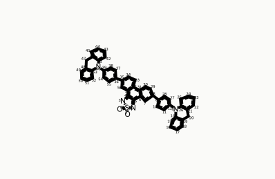 O=S1(=O)N=c2c(c3cc(-c4ccc(N5c6ccccc6Cc6ccccc65)cc4)ccc3c3ccc(-c4ccc(N5c6ccccc6Cc6ccccc65)cc4)cc23)=N1